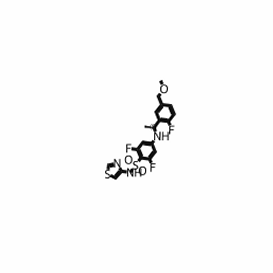 COCc1ccc(F)c([C@H](C)Nc2cc(F)c(S(=O)(=O)Nc3cscn3)c(F)c2)c1